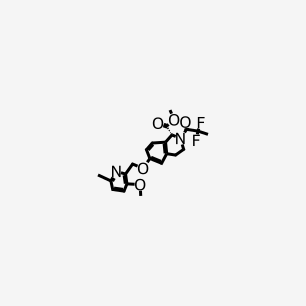 COC(=O)[C@H]1c2ccc(OCc3nc(C)ccc3OC)cc2CCN1C(=O)C(C)(F)F